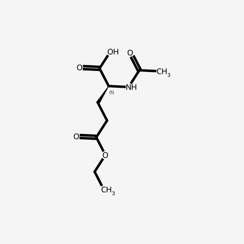 CCOC(=O)CC[C@H](NC(C)=O)C(=O)O